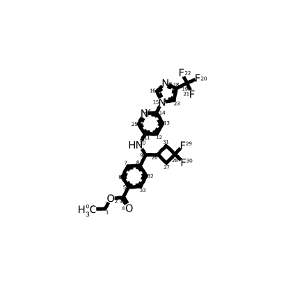 CCOC(=O)c1ccc(C(Nc2ccc(-n3cnc(C(F)(F)F)c3)nc2)C2CC(F)(F)C2)cc1